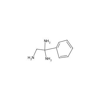 NCC(N)(N)c1ccccc1